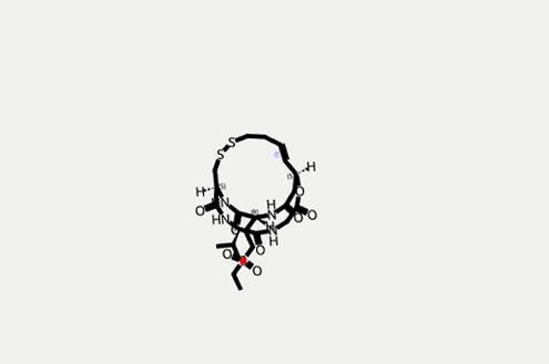 CCS(=O)(=O)CC[C@H]1NC(=O)C[C@H]2/C=C/CCSSC[C@@H](NC1=O)C(=O)N[C@H](C(C)C)C(=O)NCC(=O)O2